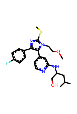 COCCn1c(SC)nc(-c2ccc(F)cc2)c1-c1ccnc(NC(CO)CC(C)C)c1